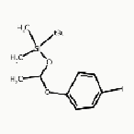 CC(Oc1ccc(I)cc1)O[Si](C)(C)C(C)(C)C